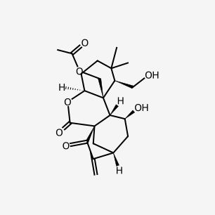 C=C1C(=O)[C@]23C[C@@H]1C[C@H](O)[C@H]2[C@]1(COC(C)=O)[C@H](CCC(C)(C)[C@H]1CO)OC3=O